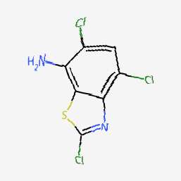 Nc1c(Cl)cc(Cl)c2nc(Cl)sc12